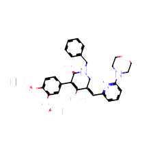 COc1ccc(C2=C(O)C(=Cc3cccc(N4CCOCC4)n3)CN(Cc3ccccc3)C2=O)cc1OC